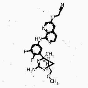 COC[C@]12C[C@H]1[C@](C)(c1cc(Nc3nccc4cc(OCC#N)cnc34)cc(F)c1F)N=C(N)S2